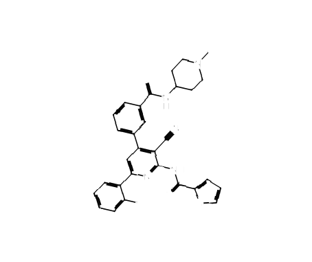 CN1CCC(NC(=O)c2cccc(-c3cc(-c4ccccc4O)nc(NC(=O)c4cccs4)c3C#N)c2)CC1